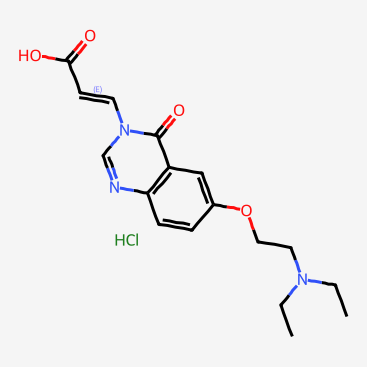 CCN(CC)CCOc1ccc2ncn(/C=C/C(=O)O)c(=O)c2c1.Cl